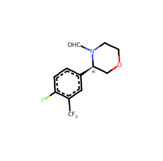 O=CN1CCOC[C@H]1c1ccc(F)c(C(F)(F)F)c1